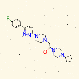 O=C(CN1CCN(c2ccc(-c3ccc(F)cc3)nn2)CC1)N1CCN(C2CCC2)CC1